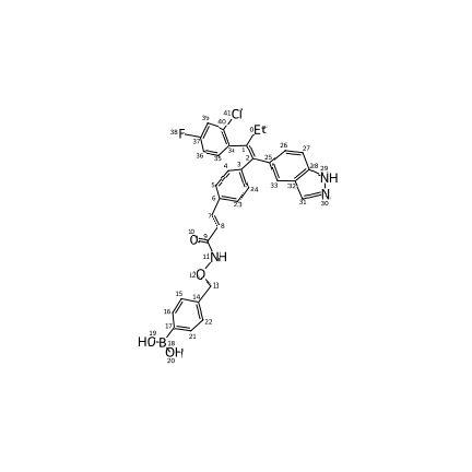 CC/C(=C(/c1ccc(/C=C/C(=O)NOCc2ccc(B(O)O)cc2)cc1)c1ccc2[nH]ncc2c1)c1ccc(F)cc1Cl